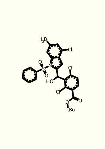 Bc1cc(Cl)c2cc(C(O)c3c(Cl)ccc(C(=O)OC(C)(C)C)c3Cl)n(S(=O)(=O)c3ccccc3)c2c1